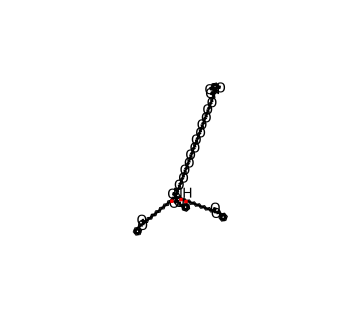 O=C(CCOCCOCCOCCOCCOCCOCCOCCOCCOCCOCCOCCOCCNC(=O)C(CCCCCCCCCCCCCCC(=O)OCc1ccccc1)(CCCCCCCCCCCCCCC(=O)OCc1ccccc1)C(=O)OCc1ccccc1)CN1C(=O)CCC1=O